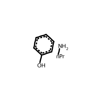 CCCN.Oc1ccccc1